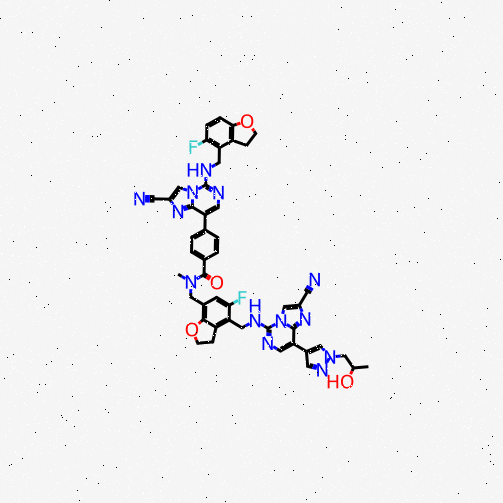 CC(O)Cn1cc(-c2cnc(NCc3c(F)cc(CN(C)C(=O)c4ccc(-c5cnc(NCc6c(F)ccc7c6CCO7)n6cc(C#N)nc56)cc4)c4c3CCO4)n3cc(C#N)nc23)cn1